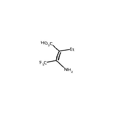 CCC(C(=O)O)=C(N)C(F)(F)F